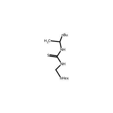 CCCCCCCNC(=S)NC(C)CCCC